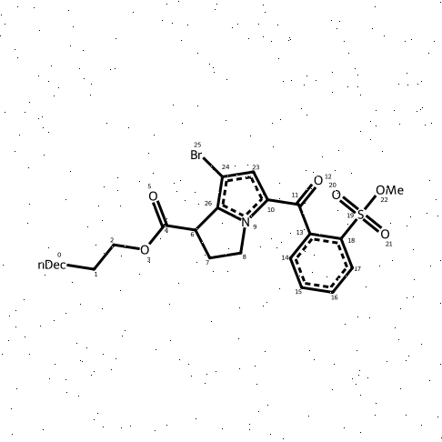 CCCCCCCCCCCCOC(=O)C1CCn2c(C(=O)c3ccccc3S(=O)(=O)OC)cc(Br)c21